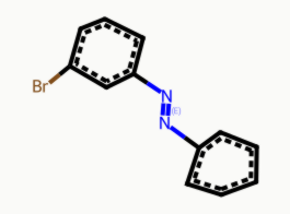 Brc1cccc(/N=N/c2ccccc2)c1